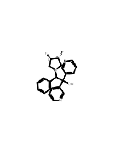 OC(c1cccnc1)(c1cccnc1)C(c1ccccc1)N1C[C@@H](F)[C@H](F)C1